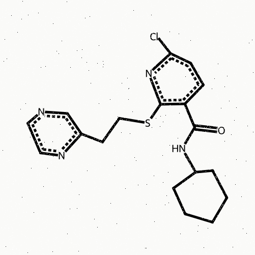 O=C(NC1CCCCC1)c1ccc(Cl)nc1SCCc1cnccn1